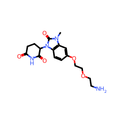 Cn1c(=O)n(C2CCC(=O)NC2=O)c2ccc(OCCOCCN)cc21